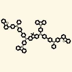 CC1(C)c2cc(N(c3ccc(-c4ccc(N(c5ccccc5)c5ccc(-c6cccc7c6oc6ccccc67)cc5)cc4)cc3)c3ccc(-n4c5ccccc5c5ccccc54)cc3)ccc2-c2ccc(N(c3ccc(-c4ccc(N(c5ccccc5)c5ccc(-c6cccc7c6oc6ccccc67)cc5)cc4)cc3)c3ccc(-n4c5ccccc5c5ccccc54)cc3)cc21